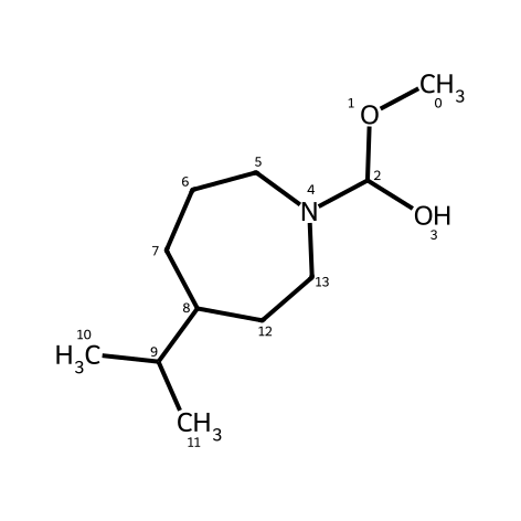 COC(O)N1CCCC(C(C)C)CC1